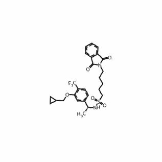 C[C@H](NS(=O)(=O)CCCCCN1C(=O)c2ccccc2C1=O)c1ccc(C(F)(F)F)c(OCC2CC2)c1